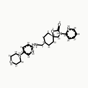 O=C1O[C@]2(CC[C@H](CNc3ccc(N4CCOCC4)cn3)CC2)CN1c1ccccn1